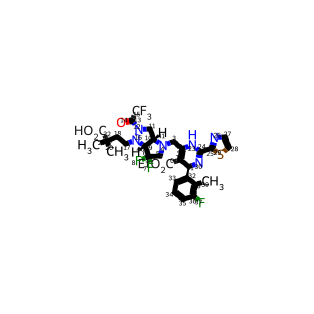 CCOC(=O)C1=C(CN2CC(F)(F)[C@H]3[C@@H]2CN(C(=O)C(F)(F)F)N3CCC(C)(C)C(=O)O)NC(c2nccs2)=N[C@H]1c1cccc(F)c1C